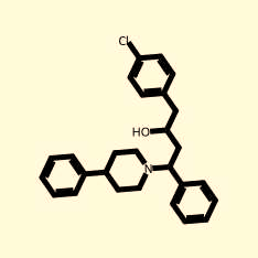 OC(Cc1ccc(Cl)cc1)CC(c1ccccc1)N1CCC(c2ccccc2)CC1